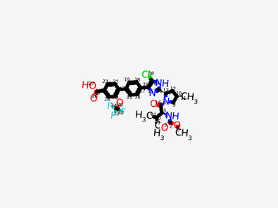 COC(=O)N[C@H](C(=O)N1C[C@@H](C)C[C@H]1c1nc(-c2ccc(-c3ccc(C(=O)O)cc3OC(F)(F)F)cc2)c(Cl)[nH]1)C(C)C